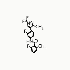 Cc1cccc(F)c1C(=O)Nc1ccc(-c2cn(C(F)F)nc2C)c(F)c1